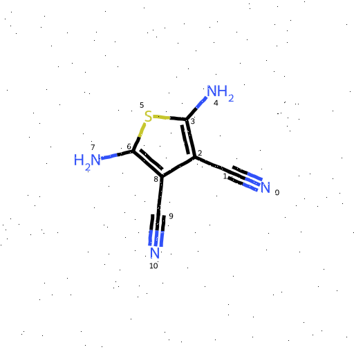 N#Cc1c(N)sc(N)c1C#N